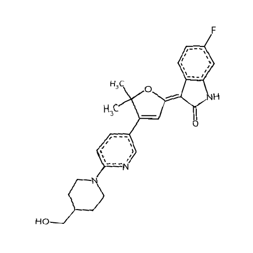 CC1(C)O/C(=C2/C(=O)Nc3cc(F)ccc32)C=C1c1ccc(N2CCC(CO)CC2)nc1